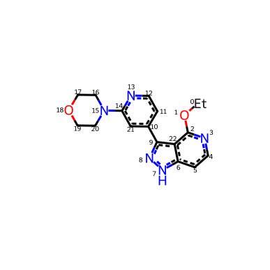 CCOc1nccc2[nH]nc(-c3ccnc(N4CCOCC4)c3)c12